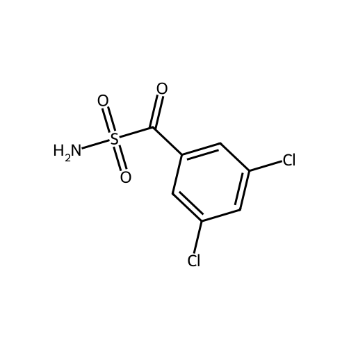 NS(=O)(=O)C(=O)c1cc(Cl)cc(Cl)c1